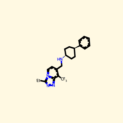 CCc1nnc2c(C(F)(F)F)c(CN[C@H]3CC[C@H](c4ccccc4)CC3)ccn12